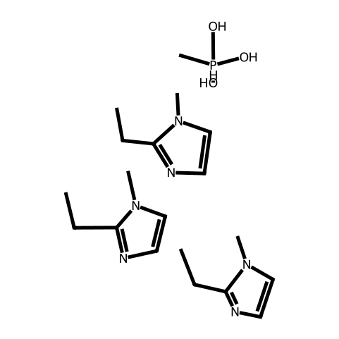 CCc1nccn1C.CCc1nccn1C.CCc1nccn1C.C[PH](O)(O)O